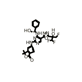 CC1(C)OC(=O)c2ccc(Nc3ncc(-c4nnc(C(O)(CF)C(F)F)o4)c(N[C@H](CO)c4ccccc4)n3)cc21